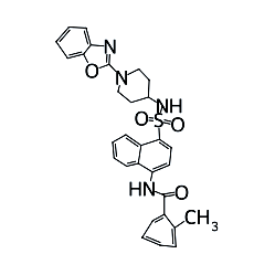 Cc1ccccc1C(=O)Nc1ccc(S(=O)(=O)NC2CCN(c3nc4ccccc4o3)CC2)c2ccccc12